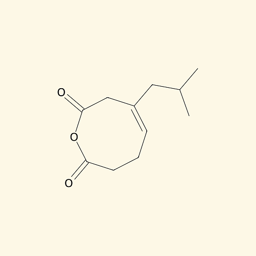 CC(C)CC1=CCCC(=O)OC(=O)C1